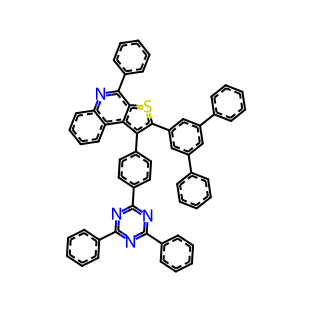 c1ccc(-c2cc(-c3ccccc3)cc(-c3sc4c(-c5ccccc5)nc5ccccc5c4c3-c3ccc(-c4nc(-c5ccccc5)nc(-c5ccccc5)n4)cc3)c2)cc1